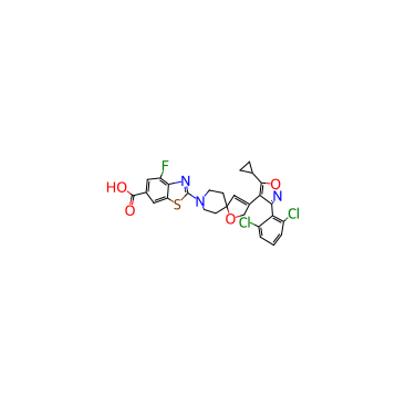 O=C(O)c1cc(F)c2nc(N3CCC4(C=C(c5c(-c6c(Cl)cccc6Cl)noc5C5CC5)CO4)CC3)sc2c1